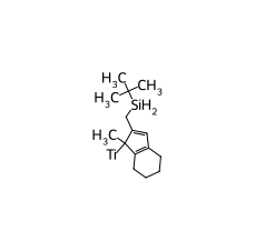 CC(C)(C)[SiH2]CC1=CC2=C(CCCC2)[C]1(C)[Ti]